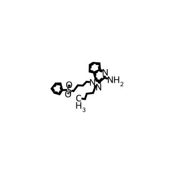 CCCCc1nc2c(N)nc3ccccc3c2n1CCCCS(=O)(=O)c1ccccc1